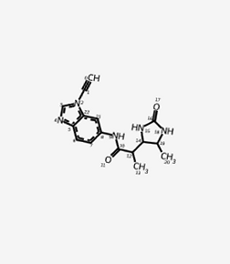 C#Cn1cnc2ccc(NC(=O)C(C)C3NC(=O)NC3C)cc21